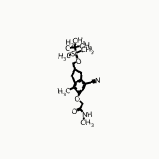 CNC(=O)COc1cc(C#N)c2c(c1C)CC(CO[Si](C)(C)C(C)(C)C)C2